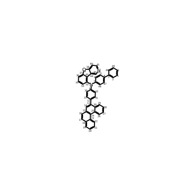 c1ccc(-c2ccc(N(c3ccc(-c4cc5ccc6ccccc6c5c5ccccc45)cc3)c3cccc4oc5ccncc5c34)cc2)cc1